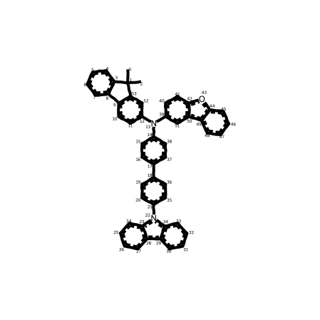 CC1(C)c2ccccc2-c2ccc(N(c3ccc(-c4ccc(-n5c6ccccc6c6ccccc65)cc4)cc3)c3ccc4oc5ccccc5c4c3)cc21